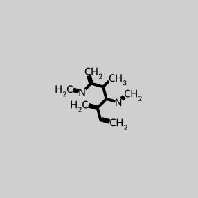 C=CC(=C)C(N=C)C(C)C(=C)N=C